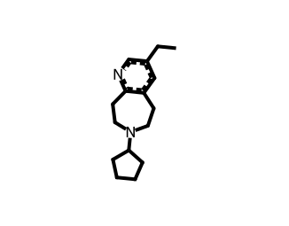 CCc1cnc2c(c1)CCN(C1CCCC1)CC2